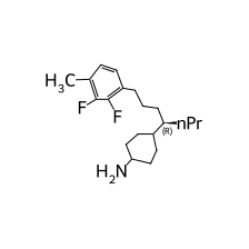 CCC[C@H](CCCc1ccc(C)c(F)c1F)C1CCC(N)CC1